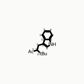 CC(=O)C(Cc1c[nH]c2ccccc12)C(C)(C)C